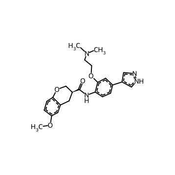 COc1ccc2c(c1)C[C@H](C(=O)Nc1ccc(-c3cn[nH]c3)cc1OCCN(C)C)CO2